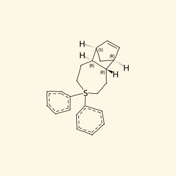 C1=C[C@H]2C[C@@H]1[C@@H]1CCS(c3ccccc3)(c3ccccc3)CC[C@H]12